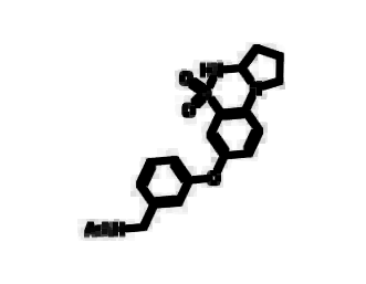 CC(=O)NCc1cccc(Oc2ccc3c(c2)S(=O)(=O)NC2CCCN32)c1